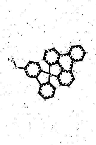 COc1ccc2c(c1)-c1ccccc1C21c2cccc3c4ccccc4c4cccc1c4c23